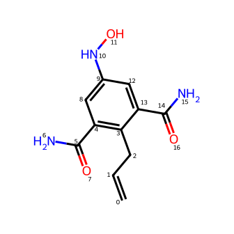 C=CCc1c(C(N)=O)cc(NO)cc1C(N)=O